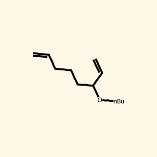 C=CCCCC(C=C)OCCCC